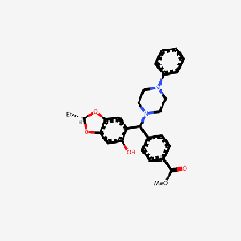 CC[C@H]1Oc2cc(O)c(C(c3ccc(C(=O)OC)cc3)N3CCN(c4ccccc4)CC3)cc2O1